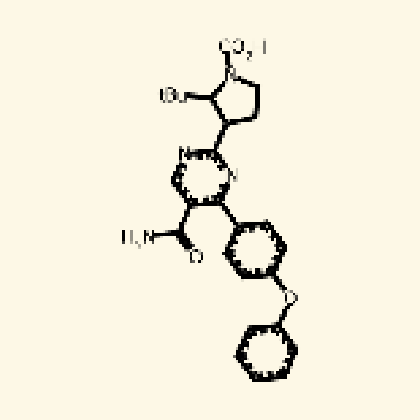 CC(C)(C)C1C(c2ncc(C(N)=O)c(-c3ccc(Oc4ccccc4)cc3)n2)CCN1C(=O)O